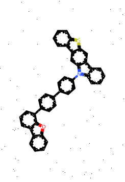 c1ccc2c(c1)oc1c(-c3ccc(-c4ccc(-n5c6ccccc6c6cc7sc8ccccc8c7cc65)cc4)cc3)cccc12